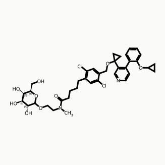 CN(CCOC1O[C@H](CO)[C@@H](O)[C@H](O)[C@H]1O)C(=O)CCCCc1cc(Cl)c(COC2(c3cnccc3-c3ccccc3OC3CC3)CC2)cc1Cl